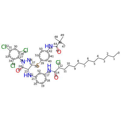 CCCCCCCCCCCCC(Cl)C(=O)Nc1cccc(NC2C(=O)N(c3c(Cl)cc(Cl)cc3Cl)N=C2Sc2ccc(NC(=O)C(C)(C)C)cc2)c1